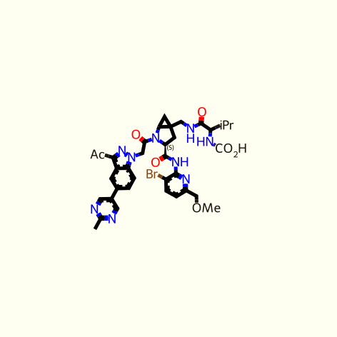 COCc1ccc(Br)c(NC(=O)[C@@H]2CC3(CNC(=O)C(NC(=O)O)C(C)C)CC3N2C(=O)Cn2nc(C(C)=O)c3cc(-c4cnc(C)nc4)ccc32)n1